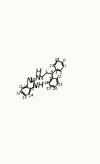 c1ccc(C(CCNc2nc3ccccc3[nH]2)c2ccccc2)cc1